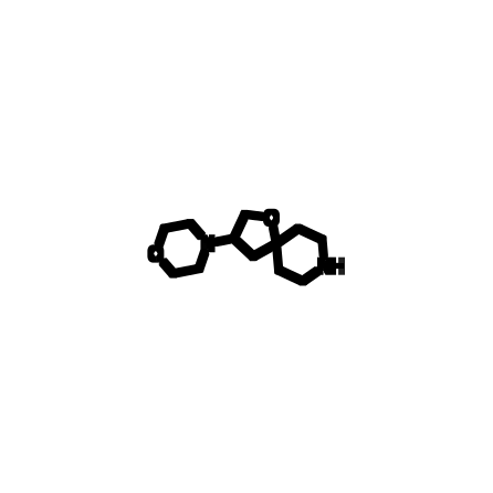 C1CC2(CCN1)CC(N1CCOCC1)CO2